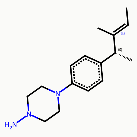 C/C=C(\C)[C@H](C)c1ccc(N2CCN(N)CC2)cc1